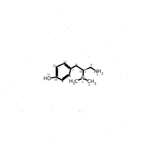 CN(C)[C@H](CN)Cc1ccc(O)cc1